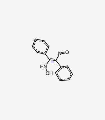 O=N/C(=C(/NO)c1ccccc1)c1ccccc1